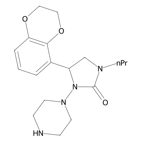 CCCN1CC(c2cccc3c2OCCO3)N(N2CCNCC2)C1=O